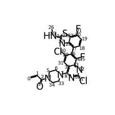 C=CC(=O)N1CCN(c2nc(Cl)nc3c(F)c(-c4ccc(F)c5sc(NC)nc45)c(Cl)cc23)CC1